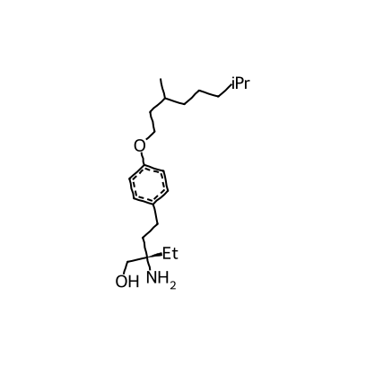 CC[C@@](N)(CO)CCc1ccc(OCCC(C)CCCC(C)C)cc1